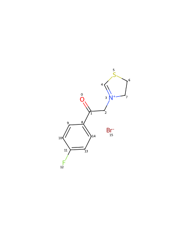 O=C(C[N+]1=CSCC1)c1ccc(F)cc1.[Br-]